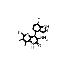 Cc1c(Cl)nc2c(-c3ccc(F)c4[nH]ncc34)c(N)c(=O)[nH]c2c1C